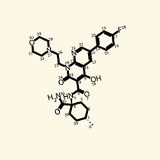 C[C@H]1CC[C@@](NC(=O)c2c(O)c3cc(-c4ccc(F)cc4)cnc3n(CCN3CCOCC3)c2=O)(C(N)=O)CC1